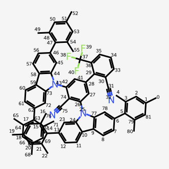 Cc1cc(C)c(-c2ccc3c4ccc(-c5c(C)cc(C)cc5C)cc4n(-c4cc(-c5c(C#N)cccc5C(F)(F)F)cc(-n5c6cc(-c7c(C)cc(C)cc7C)ccc6c6ccc(-c7c(C)cc(C)cc7C)cc65)c4C#N)c3c2)c(C)c1